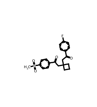 CS(=O)(=O)c1ccc(C(=O)CC2(CC(=O)c3ccc(F)cc3)CCC2)cc1